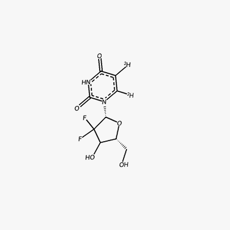 [2H]c1c([2H])n([C@@H]2O[C@H](CO)C(O)C2(F)F)c(=O)[nH]c1=O